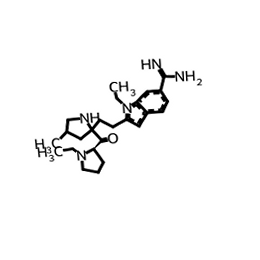 CCN1CCC[C@@H]1C(=O)C1(CCc2cc3ccc(C(=N)N)cc3n2CC)CC(C)CN1